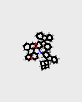 C1=Cc2cccc(-c3ccccc3N(c3cccc(C4(c5ccccc5)c5ccccc5-c5ccccc54)c3)c3ccc4c(c3)C3(c5ccccc5-4)C4CC5CC6CC3C564)c2C(c2ccccc2)C1